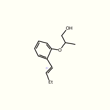 CC/C=C/c1ccccc1OC(C)CO